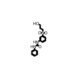 O=C(Nc1ccccc1)Nc1cccc(S(=O)(=O)CCCO)c1